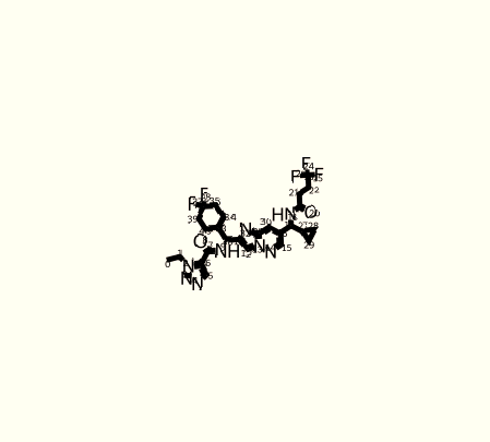 CCn1nncc1C(=O)N[C@H](c1cn2ncc(C(NC(=O)CCC(F)(F)F)C3CC3)cc2n1)C1CCC(F)(F)CC1